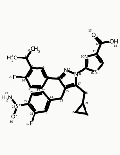 CC(C)c1cc(-c2nn(-c3nc(C(=O)O)cs3)c(CC3CC3)c2Cc2ccc([S+](N)[O-])c(F)c2)ccc1F